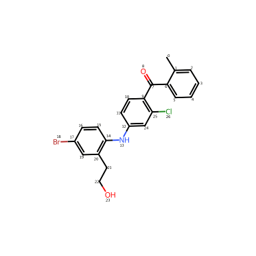 Cc1ccccc1C(=O)c1ccc(Nc2ccc(Br)cc2CCO)cc1Cl